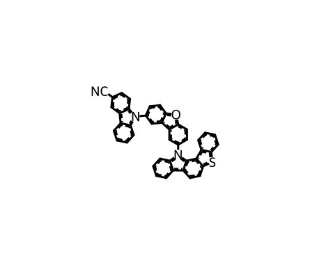 N#Cc1ccc2c(c1)c1ccccc1n2-c1ccc2oc3ccc(-n4c5ccccc5c5ccc6sc7ccccc7c6c54)cc3c2c1